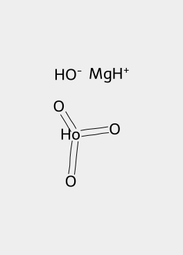 [MgH+].[OH-].[O]=[Ho](=[O])=[O]